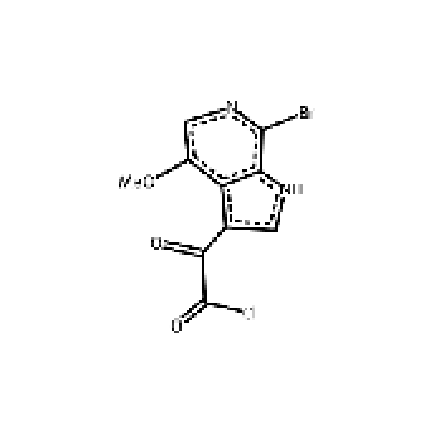 COc1cnc(Br)c2[nH]cc(C(=O)C(=O)Cl)c12